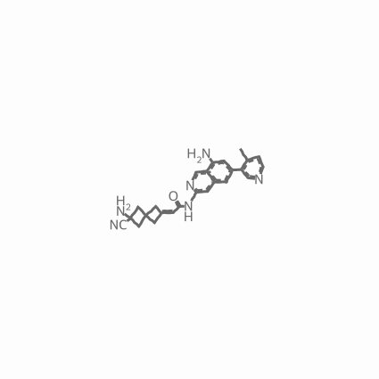 Cc1ccncc1-c1cc(N)c2cnc(NC(=O)C=C3CC4(C3)CC(N)(C#N)C4)cc2c1